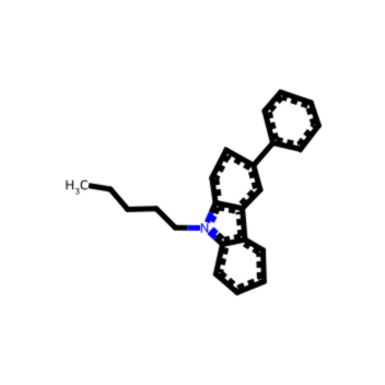 CCCCCn1c2ccccc2c2cc(-c3[c]cccc3)ccc21